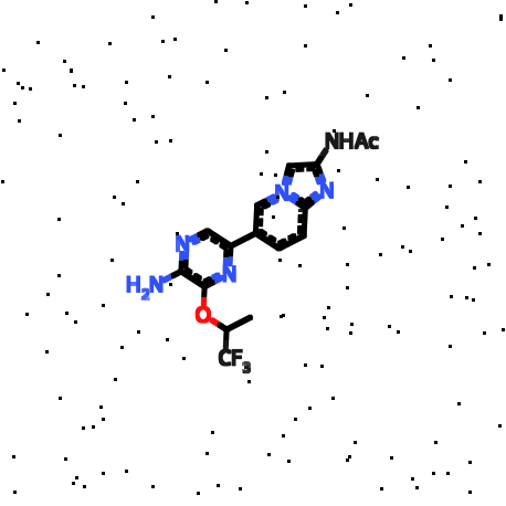 CC(=O)Nc1cn2cc(-c3cnc(N)c(OC(C)C(F)(F)F)n3)ccc2n1